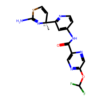 C[C@@]1(c2cc(NC(=O)c3cnc(OC(F)F)cn3)ccn2)C=CSC(N)=N1